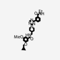 CCNC(=O)c1cccc(-c2ncnc(N3CCC(CNC(=O)c4cc(OC)cc(OCC5CC5)c4)CC3)n2)c1